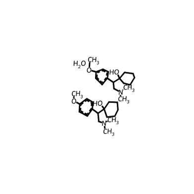 COc1ccc(C(CN(C)C)C2(O)CCCCC2)cc1.COc1ccc(C(CN(C)C)C2(O)CCCCC2)cc1.O